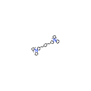 Cc1cccc(C)c1N(c1ccccc1)c1ccc(/C=C/c2ccc(/C=C/c3ccc(N(c4ccccc4)c4c(C)cccc4C)cc3)cc2)cc1